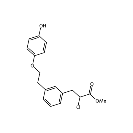 COC(=O)C(Cl)Cc1cccc(CCOc2ccc(O)cc2)c1